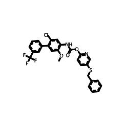 COc1cc(-c2cccc(C(F)(F)F)c2)c(Cl)cc1NC(=O)Oc1ccc(SCc2ccccc2)cn1